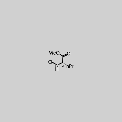 CCC[C@H](NCl)C(=O)OC